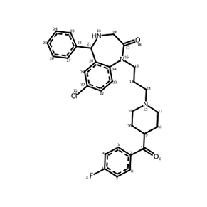 O=C(c1ccc(F)cc1)C1CCN(CCCN2C(=O)CNC(c3ccccc3)c3cc(Cl)ccc32)CC1